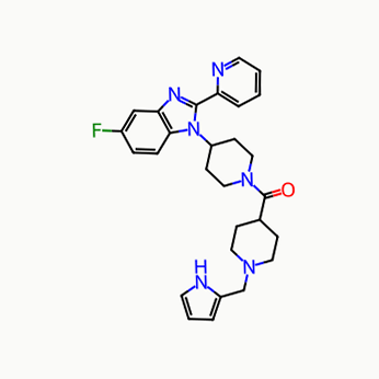 O=C(C1CCN(Cc2ccc[nH]2)CC1)N1CCC(n2c(-c3ccccn3)nc3cc(F)ccc32)CC1